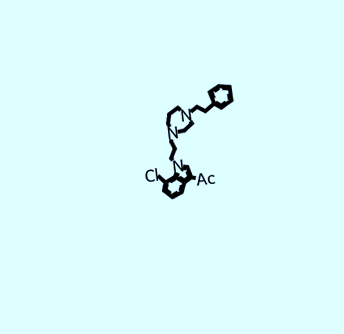 CC(=O)c1cn(CCCN2CCCN(CCc3ccccc3)CC2)c2c(Cl)cccc12